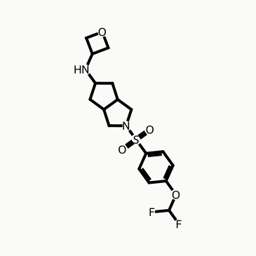 O=S(=O)(c1ccc(OC(F)F)cc1)N1CC2CC(NC3COC3)CC2C1